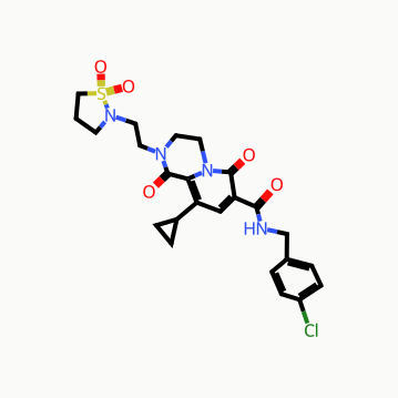 O=C(NCc1ccc(Cl)cc1)c1cc(C2CC2)c2n(c1=O)CCN(CCN1CCCS1(=O)=O)C2=O